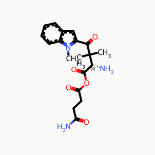 Cn1c(C(=O)C(C)(C)[C@H](N)C(=O)OC(=O)CCC(N)=O)cc2ccccc21